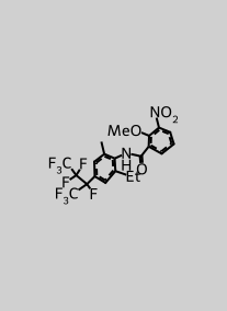 CCc1cc(C(F)(C(F)(F)F)C(F)(F)C(F)(F)F)cc(C)c1NC(=O)c1cccc([N+](=O)[O-])c1OC